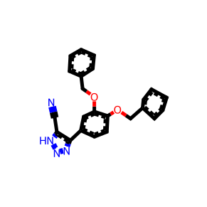 N#Cc1[nH]nnc1-c1ccc(OCc2ccccc2)c(OCc2ccccc2)c1